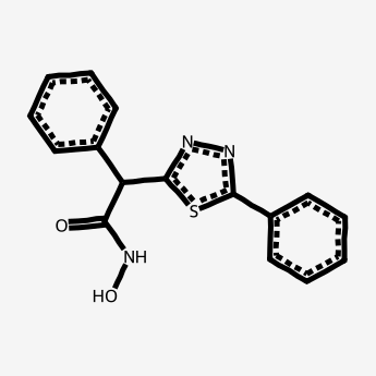 O=C(NO)C(c1ccccc1)c1nnc(-c2ccccc2)s1